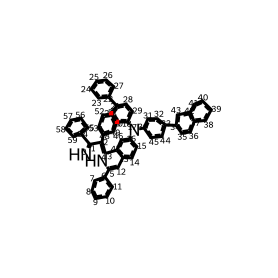 N=C(/C(=C1\NC(c2ccccc2)=Cc2ccc(N(c3ccc(-c4ccccc4)cc3)c3ccc(-c4ccc5ccccc5c4)cc3)cc21)c1ccccc1)c1ccccc1